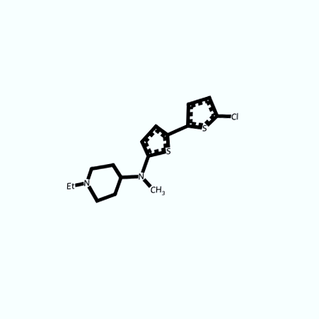 CCN1CCC(N(C)c2ccc(-c3ccc(Cl)s3)s2)CC1